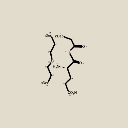 CCCCCCCCCCCC(=O)OC(=O)[C@@H](N)CCC(=O)O.CCCCCCCCCCCCOCCCCCCCCCCCC